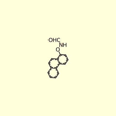 O=[C]NOc1cccc2c1ccc1ccccc12